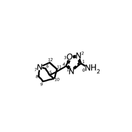 Nc1noc(C2CN3CCC2CC3)n1